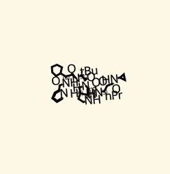 CCC[C@H](NC(=O)[C@@H]1[C@H]2NCC[C@H]2CN1C(=O)[C@@H](NC(=O)[C@@H](NC(=O)c1ccccn1)C1CCCCC1)C(C)(C)C)C(=O)C(=O)NC1CC1